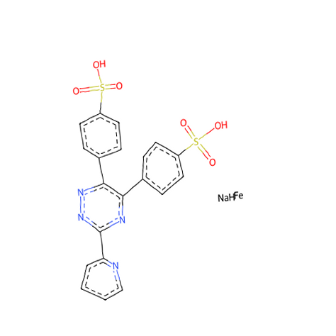 O=S(=O)(O)c1ccc(-c2nnc(-c3ccccn3)nc2-c2ccc(S(=O)(=O)O)cc2)cc1.[Fe].[NaH]